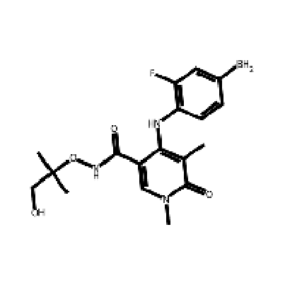 Bc1ccc(Nc2c(C(=O)NOC(C)(C)CO)cn(C)c(=O)c2C)c(F)c1